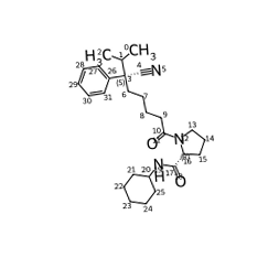 CC(C)[C@@](C#N)(CCCCC(=O)N1CCC[C@@H]1C(=O)NC1CCCCC1)c1ccccc1